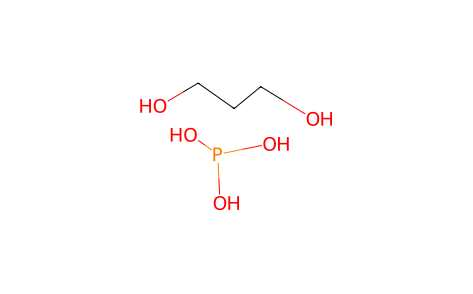 OCCCO.OP(O)O